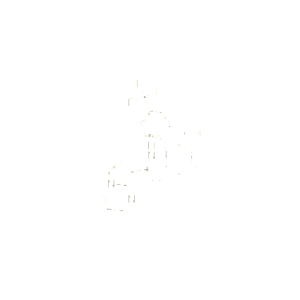 Cc1cnc2c(C(=O)N[C@@]3(c4ccc(C(F)(F)F)cc4F)CCOC[C@]3(C)O)ccn2c1